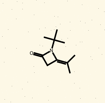 CC(C)=C1CC(=O)N1C(C)(C)C